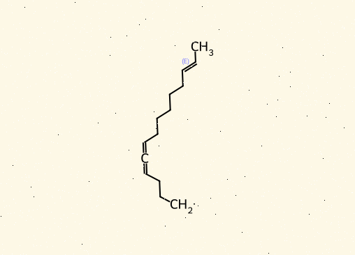 [CH2]CCC=C=CCCCCC/C=C/C